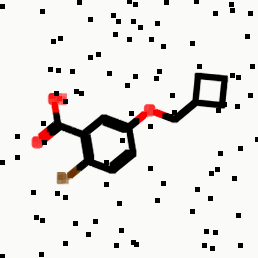 O=C(O)c1cc(OCC2CCC2)ccc1Br